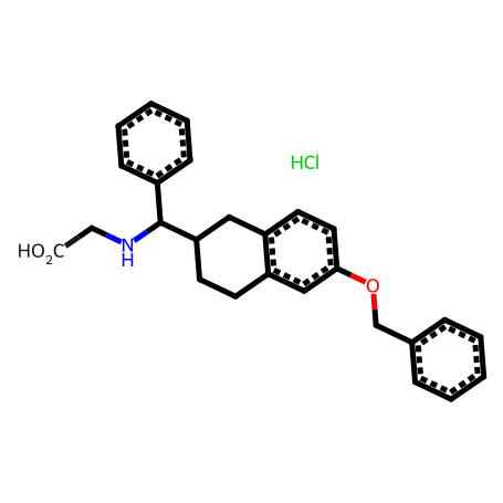 Cl.O=C(O)CNC(c1ccccc1)C1CCc2cc(OCc3ccccc3)ccc2C1